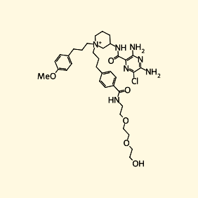 COc1ccc(CCC[N+]2(CCCc3ccc(C(=O)NCCOCCOCCO)cc3)CCCC(NC(=O)c3nc(Cl)c(N)nc3N)C2)cc1